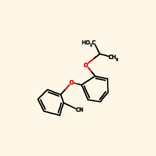 CC(Oc1ccccc1Oc1ccccc1C#N)C(=O)O